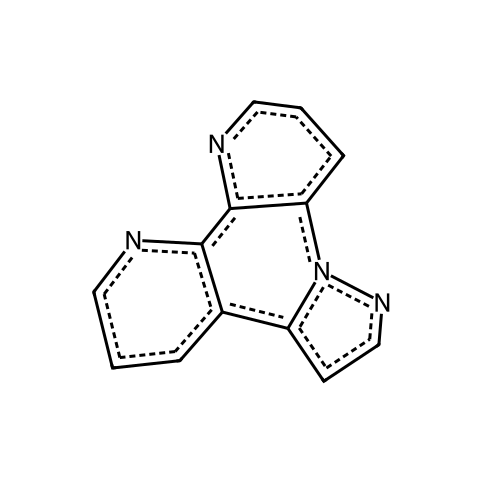 c1cnc2c(c1)c1ccnn1c1cccnc21